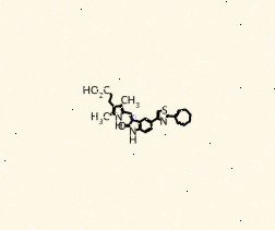 Cc1[nH]c(/C=C2\C(=O)Nc3ccc(-c4csc(C5=CCCCC=C5)n4)cc32)c(C)c1CCC(=O)O